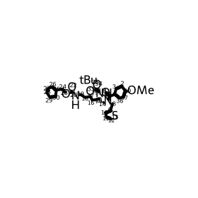 COc1ccc(C(=O)N(Cc2cccs2)C[C@H](CCCCNC(=O)OCc2ccccc2)NC(=O)OC(C)(C)C)cc1